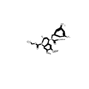 COC(=O)N(Cc1cc(C(F)(F)F)cc(C(F)(F)F)c1)[C@H]1C[C@@H](C)N(C(=O)OCC(Cl)(Cl)Cl)c2cc(OC)c(OC)cc21